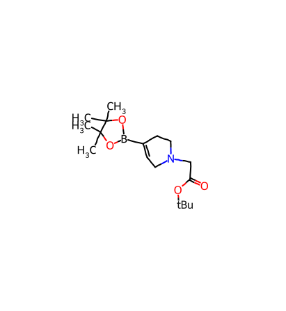 CC(C)(C)OC(=O)CN1CC=C(B2OC(C)(C)C(C)(C)O2)CC1